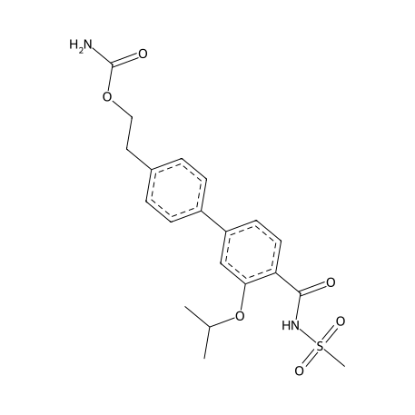 CC(C)Oc1cc(-c2ccc(CCOC(N)=O)cc2)ccc1C(=O)NS(C)(=O)=O